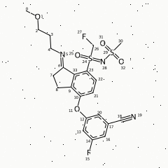 COCCCN=C1CCc2c(Oc3cc(F)cc(C#N)c3)ccc(S(=O)(CF)=NS(C)(=O)=O)c21